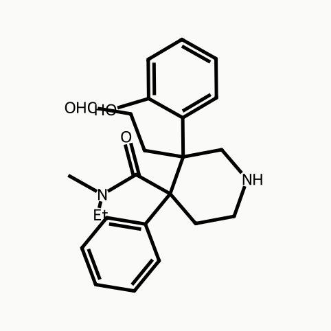 CCN(C)C(=O)C1(c2ccccc2)CCNCC1(CCC=O)c1ccccc1O